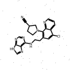 N#CC1CCN(c2c(CCNc3ncnc4[nH]cnc34)cc(Cl)c3cccnc23)C1